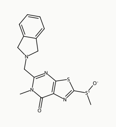 Cn1c(CN2Cc3ccccc3C2)nc2sc([S+](C)[O-])nc2c1=O